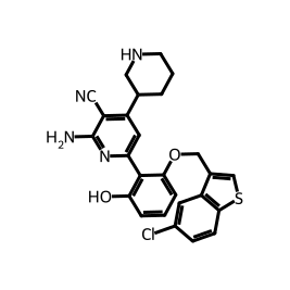 N#Cc1c(C2CCCNC2)cc(-c2c(O)cccc2OCc2csc3ccc(Cl)cc23)nc1N